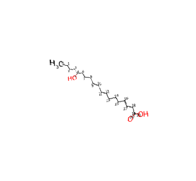 CCCCC(O)CCCCCCCCCCCCCC(=O)O